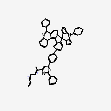 C=C/C=C\C=C(/C)c1cc(-c2ccc(-c3ccc4c(c3)-c3c(ccc5c(-c6ccccc6)nc6ccccc6c35)C43c4ccccc4N(c4ccccc4)c4ccccc43)cc2)nc(-c2ccccc2)n1